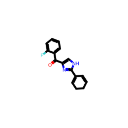 O=C(c1c[nH]c(C2=CCCC=C2)n1)c1ccccc1F